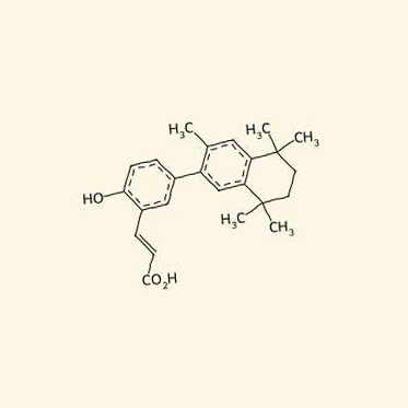 Cc1cc2c(cc1-c1ccc(O)c(C=CC(=O)O)c1)C(C)(C)CCC2(C)C